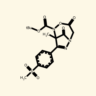 CC(C)(C)OC(=O)N1OC(=O)CN2N=C(c3ccc(S(C)(=O)=O)cc3)C1(C)C2=O